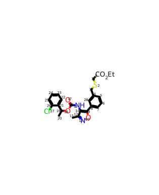 CCOC(=O)CSCc1cccc(-c2onc(C)c2NC(=O)OC(C)c2ccccc2Cl)c1